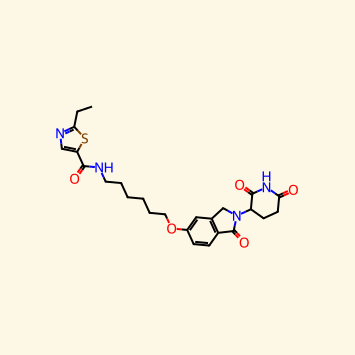 CCc1ncc(C(=O)NCCCCCCOc2ccc3c(c2)CN(C2CCC(=O)NC2=O)C3=O)s1